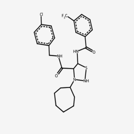 O=C(NC1SNN(C2CCCCCC2)C1C(=O)NCc1ccc(Cl)cc1)c1cccc(C(F)(F)F)c1